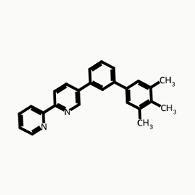 Cc1cc(-c2cccc(-c3ccc(-c4ccccn4)nc3)c2)cc(C)c1C